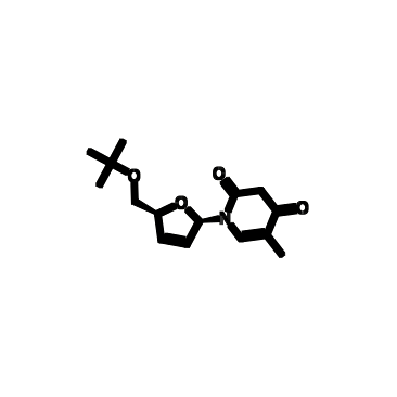 CC1=CN([C@H]2C=C[C@@H](COC(C)(C)C)O2)C(=O)CC1=O